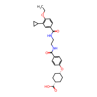 CCOc1ccc(C(=O)NCCNC(=O)c2ccc(O[C@H]3CC[C@@H](C(=O)O)CC3)cc2)cc1C1CC1